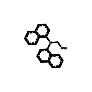 COCN(c1cccc2ccccc12)c1cccc2ccccc12